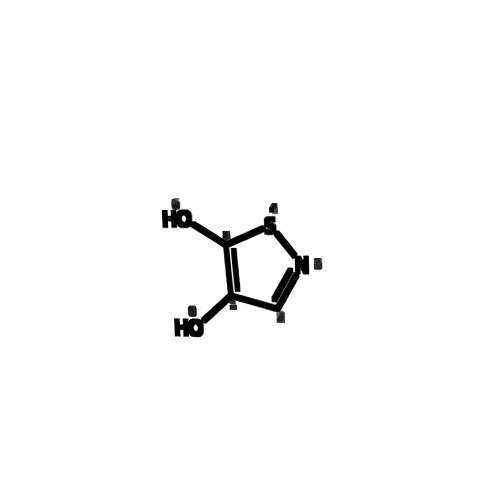 Oc1cnsc1O